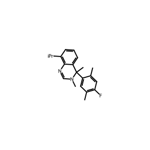 Cc1cc(C2(C)c3cccc(C(C)C)c3N=CN2C)c(C)cc1F